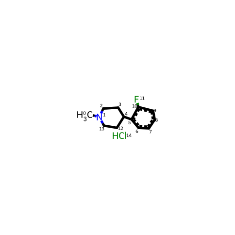 CN1CCC(c2ccccc2F)CC1.Cl